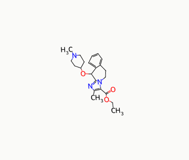 CCOC(=O)c1c(C)nc2n1CCc1ccccc1C2OC1CCN(C)CC1